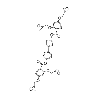 O=C(Oc1ccc(-c2ccc(OC(=O)c3ccc(OCC4CO4)cc3OCC3CO3)cc2)cc1)c1ccc(OCC2CO2)cc1OCC1CO1